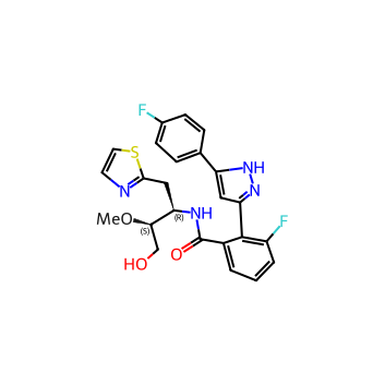 CO[C@H](CO)[C@@H](Cc1nccs1)NC(=O)c1cccc(F)c1-c1cc(-c2ccc(F)cc2)[nH]n1